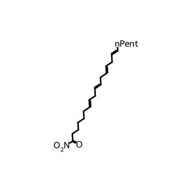 CCCCCC=CCC=CCC=CCC=CCCCCCC(=O)[N+](=O)[O-]